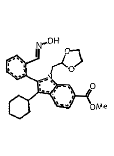 COC(=O)c1ccc2c(C3CCCCC3)c(-c3ccccc3C=NO)n(CC3OCCO3)c2c1